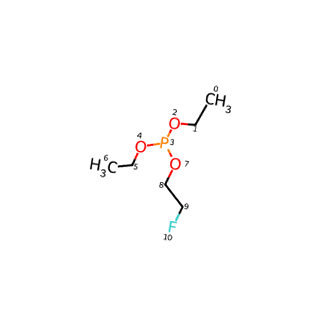 CCOP(OCC)OCCF